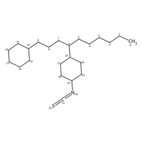 CCCCCCC(CCCC1CCCCC1)C1CCC(N=C=S)CC1